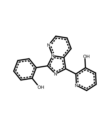 Oc1ccccc1-c1nc(-c2ncccc2O)c2cccnn12